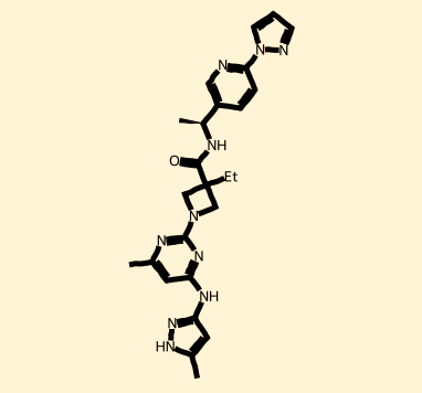 CCC1(C(=O)N[C@@H](C)c2ccc(-n3cccn3)nc2)CN(c2nc(C)cc(Nc3cc(C)[nH]n3)n2)C1